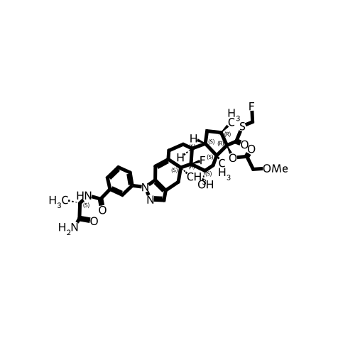 COCC(=O)O[C@]1(C(=O)SCF)[C@H](C)C[C@H]2[C@@H]3CCC4=Cc5c(cnn5-c5cccc(C(=O)N[C@@H](C)C(N)=O)c5)C[C@]4(C)[C@@]3(F)[C@@H](O)C[C@@]21C